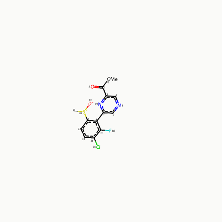 COC(=O)c1cncc(-c2c([S+](C)[O-])ccc(Cl)c2F)n1